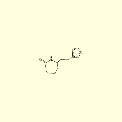 O=C1CCCCC(CCc2ccoc2)N1